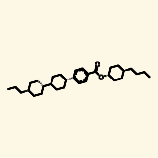 CCCC[C@H]1CC[C@H](OC(=O)c2ccc([C@H]3CC[C@H]([C@H]4CC[C@H](CCC)CC4)CC3)cc2)CC1